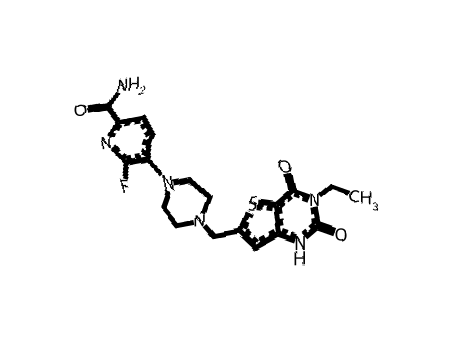 CCn1c(=O)[nH]c2cc(CN3CCN(c4ccc(C(N)=O)nc4F)CC3)sc2c1=O